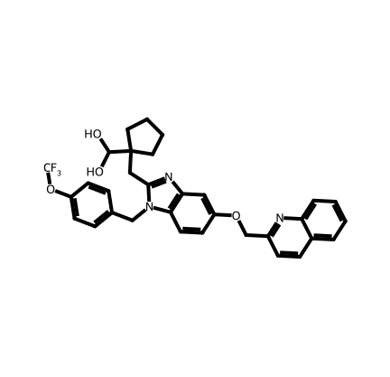 OC(O)C1(Cc2nc3cc(OCc4ccc5ccccc5n4)ccc3n2Cc2ccc(OC(F)(F)F)cc2)CCCC1